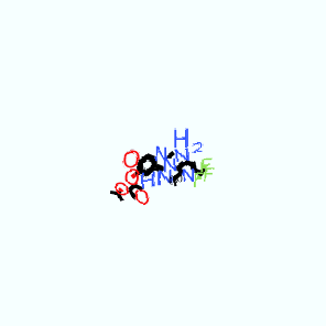 COc1cc2nc(C)nc(N[C@H](C)c3cc(N)cc(C(F)(F)F)n3)c2cc1OC1COCC1OC(C)C